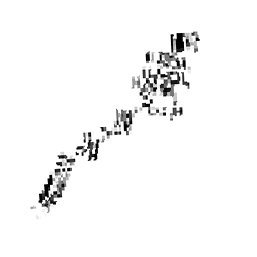 CC(C)(CC(=O)C(C)(C)CC(=O)C(C)(C)NC(=O)[C@@H](N)Cc1cnc[nH]1)C(=O)C[C@@H](CCCCNC(=O)COCCOCCNC(=O)COCCC(F)(F)C(F)(F)C(F)(F)C(F)(F)C(F)(F)C(F)(F)C(F)(F)C(F)(F)C(F)(F)C(F)(F)F)C(=O)O